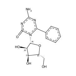 Nc1nc(-c2ccccc2)n([C@@H]2O[C@H](CO)[C@@H](O)[C@H]2O)c(=O)n1